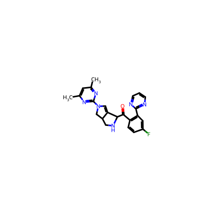 Cc1cc(C)nc(N2C=C3C(CNC3C(=O)c3ccc(F)cc3-c3ncccn3)C2)n1